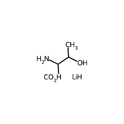 CC(O)C(N)C(=O)O.[LiH]